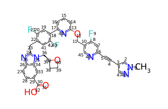 Cn1cc(C#Cc2cc(F)c(COc3cccc(-c4cc(F)c(Cc5nc6ccc(C(=O)O)cc6n5C[C@@H]5CCO5)cc4F)n3)cn2)cn1